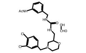 CC(=O)Nc1cccc(CNC(=O)NCC2CN(Cc3ccc(Cl)c(Cl)c3)CCO2)c1.O=CO